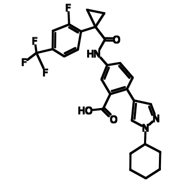 O=C(O)c1cc(NC(=O)C2(c3ccc(C(F)(F)F)cc3F)CC2)ccc1-c1cnn(C2CCCCC2)c1